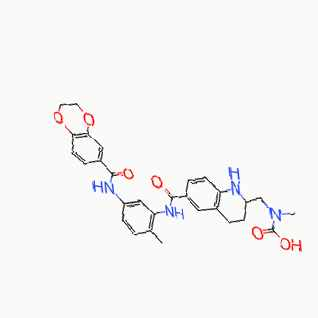 Cc1ccc(NC(=O)c2ccc3c(c2)OCCO3)cc1NC(=O)c1ccc2c(c1)CCC(CN(C)C(=O)O)N2